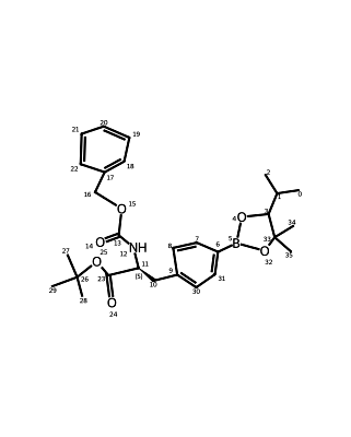 CC(C)C1OB(c2ccc(C[C@H](NC(=O)OCc3ccccc3)C(=O)OC(C)(C)C)cc2)OC1(C)C